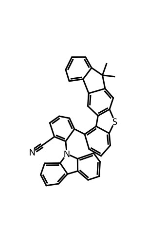 CC1(C)c2ccccc2-c2cc3c(cc21)sc1cccc(-c2cccc(C#N)c2-n2c4ccccc4c4ccccc42)c13